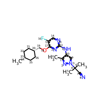 Cc1nn(C(C)(C)C#N)cc1Nc1ncc(F)c(OC[C@H]2CC[C@@H](C)CC2)n1